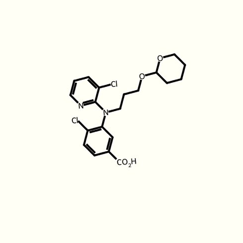 O=C(O)c1ccc(Cl)c(N(CCCOC2CCCCO2)c2ncccc2Cl)c1